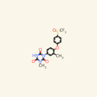 Cc1cc(-n2c(=O)[nH]c(=O)n(C)c2=O)ccc1Oc1ccc([S+]([O-])C(F)(F)F)cc1